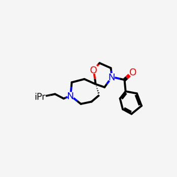 CC(C)CCN1CCC[C@@]2(CC1)CN(C(=O)c1ccccc1)CCO2